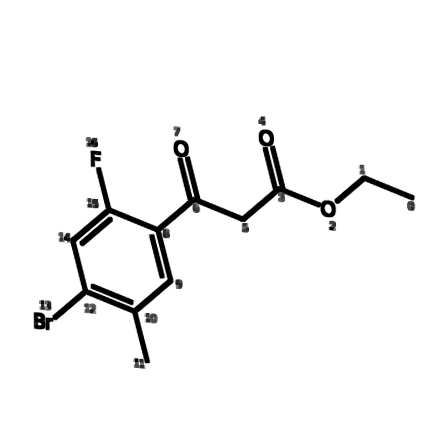 CCOC(=O)CC(=O)c1cc(C)c(Br)cc1F